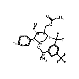 CC(=O)OC[C@H]1CC[C@H](O[C@H](C)c2cc(C(F)(F)F)cc(C(F)(F)F)c2)[C@@H](c2ccc(F)cc2)[C@@H]1C=O